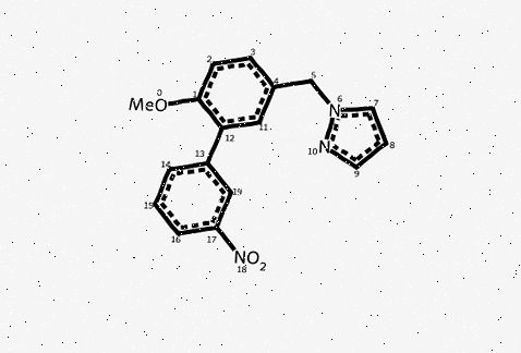 COc1ccc(Cn2cccn2)cc1-c1cccc([N+](=O)[O-])c1